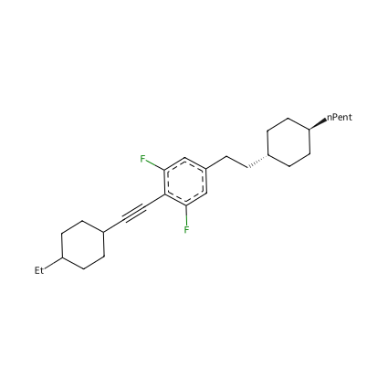 CCCCC[C@H]1CC[C@H](CCc2cc(F)c(C#CC3CCC(CC)CC3)c(F)c2)CC1